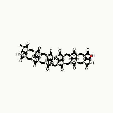 CN1C(=O)N2CN3C(=O)N4CN5C(=O)N[C@H]6[C@@H]5N(CN5C(=O)N(CN7C(=O)N[C@H]1[C@@H]72)[C@H]3[C@H]45)C(=O)N6CN1C(=O)N2CN3C(=O)N4CN5C(=O)N[C@@H]6NC(=O)N(CN7C(=O)N(CN8C(=O)N[C@H]1[C@@H]82)[C@H]3[C@@H]74)[C@@H]65